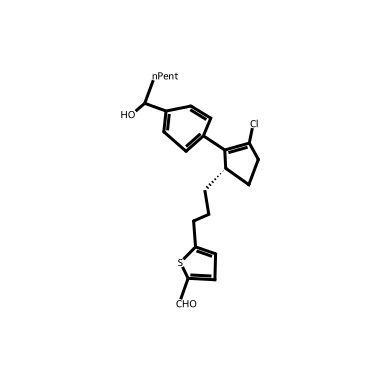 CCCCCC(O)c1ccc(C2=C(Cl)CC[C@@H]2CCCc2ccc(C=O)s2)cc1